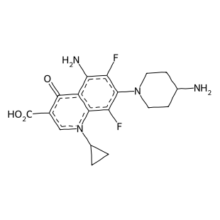 Nc1c(F)c(N2CCC(N)CC2)c(F)c2c1c(=O)c(C(=O)O)cn2C1CC1